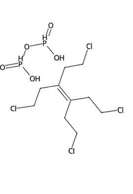 ClCCC(CCCl)=C(CCCl)CCCl.O=[PH](O)O[PH](=O)O